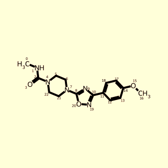 CNC(=O)N1CCN(c2nc(-c3ccc(OC)cc3)no2)CC1